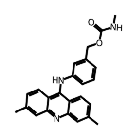 CNC(=O)OCc1cccc(Nc2c3ccc(C)cc3nc3cc(C)ccc23)c1